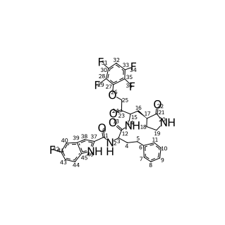 O=C(NC(CCc1ccccc1)C(=O)NC(C[C@@H]1CCNC1=O)C(=O)COc1c(F)c(F)cc(F)c1F)c1cc2cc(F)ccc2[nH]1